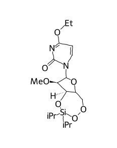 CCOc1ccn(C2OC3COO[Si](C(C)C)(C(C)C)O[C@H]3[C@H]2OC)c(=O)n1